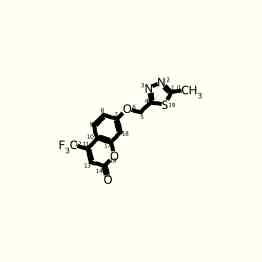 Cc1nnc(COc2ccc3c(C(F)(F)F)cc(=O)oc3c2)s1